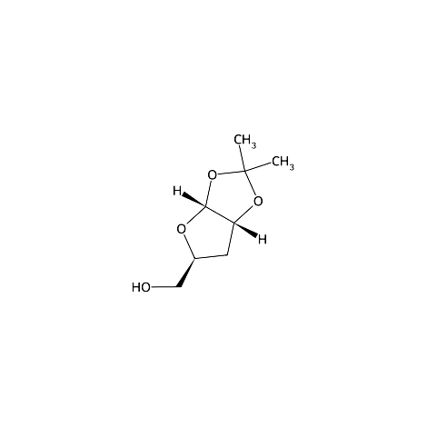 CC1(C)O[C@H]2O[C@H](CO)C[C@H]2O1